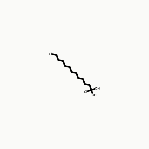 OC(O)(Cl)CCCCCCCCCCCCl